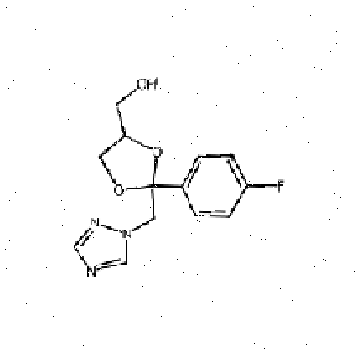 OCC1COC(Cn2cncn2)(c2ccc(F)cc2)O1